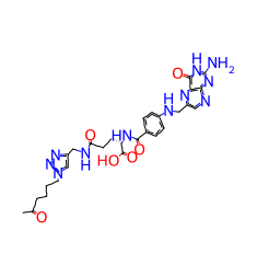 CC(=O)CCCCn1cc(CNC(=O)CC[C@H](NC(=O)c2ccc(NCc3cnc4nc(N)[nH]c(=O)c4n3)cc2)C(=O)O)nn1